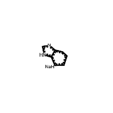 [NaH].c1ccc2[nH]cnc2c1